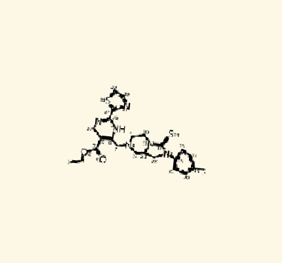 CCOC(=O)C1=C(CN2CCN3C(=S)N(c4ccc(C)cc4)CC3C2)NC(c2nccs2)=NC1